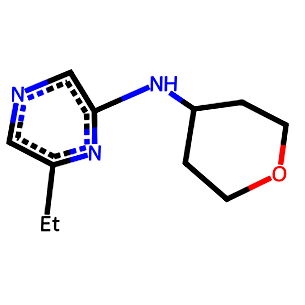 CCc1cncc(NC2CCOCC2)n1